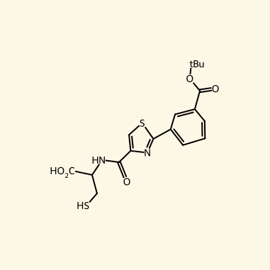 CC(C)(C)OC(=O)c1cccc(-c2nc(C(=O)NC(CS)C(=O)O)cs2)c1